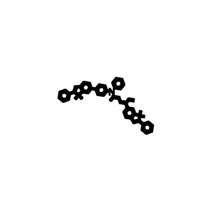 C=C/C(=C\C=C(/C)N(c1ccccc1)c1ccc(-c2ccc3c(c2)C(C)(C)C(c2ccccc2)=C3)cc1)c1ccc2c(c1)C(C)(C)C(c1ccccc1)=C2